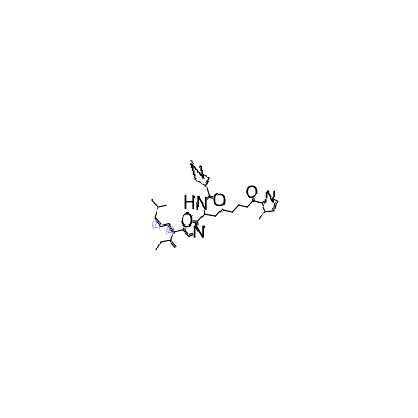 C=C(CC)/C(=C\C=C/C(C)C)c1cnc(C(CCCCCC(=O)C2=NC=CC2C)NC(=O)C2CN(C)C2)o1